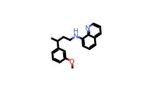 COc1cccc(C(C)CCNc2cccc3cccnc23)c1